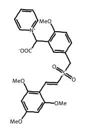 COc1cc(OC)c(/C=C/S(=O)(=O)Cc2ccc(OC)c(C(C(=O)[O-])[n+]3ccccc3)c2)c(OC)c1